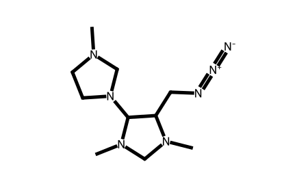 CN1CCN(C2C(CN=[N+]=[N-])N(C)CN2C)C1